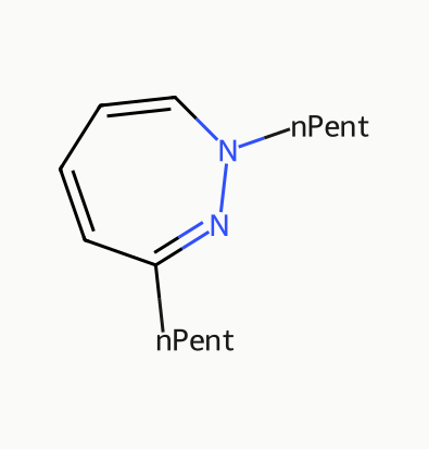 CCCCCC1=NN(CCCCC)C=CC=C1